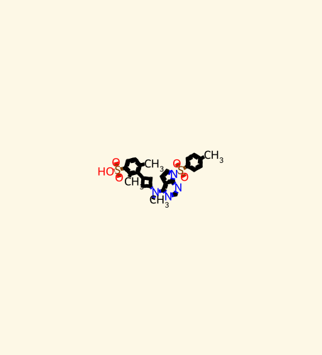 Cc1ccc(S(=O)(=O)n2ccc3c(N(C)C4CC(c5c(C)ccc(S(=O)(=O)O)c5C)C4)ncnc32)cc1